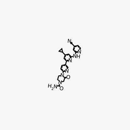 N#Cc1ccnc(Nc2cc(C3CC3)cc(-c3ccc(N4CCN(C(N)=O)CC4=O)nc3)n2)c1